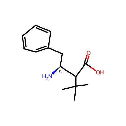 CC(C)(C)C(C(=O)O)[C@@H](N)Cc1ccccc1